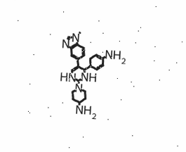 Cn1cnc2cc(C3=CNC(N4CCC(N)CC4)NC3C3C=CC(N)=CC3)ccc21